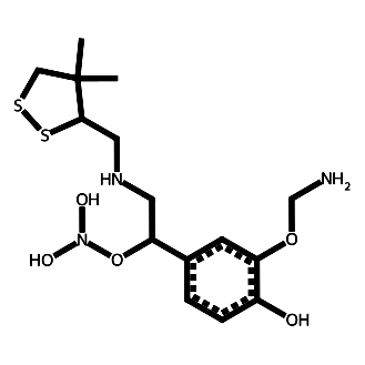 CC1(C)CSSC1CNCC(ON(O)O)c1ccc(O)c(OCN)c1